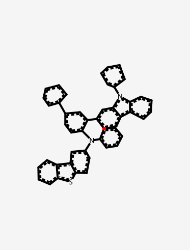 c1ccc(-c2ccc(N(c3ccccc3)c3ccc4sc5ccccc5c4c3)c(-c3ccc4c5ccccc5n(-c5ccccc5)c4c3)c2)cc1